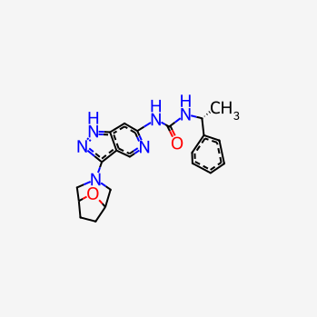 C[C@@H](NC(=O)Nc1cc2[nH]nc(N3CC4CCC(C3)O4)c2cn1)c1ccccc1